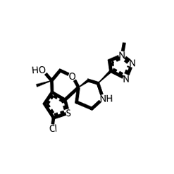 Cn1cc([C@@H]2C[C@]3(CCN2)OC[C@@](C)(O)c2cc(Cl)sc23)nn1